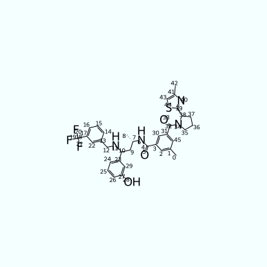 Cc1cc(C(=O)N[C@@H](C)CC(NCc2cccc(C(F)(F)F)c2)c2cccc(O)c2)cc(C(=O)N2CCC[C@@H]2c2nc(C)cs2)c1